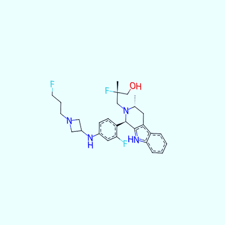 C[C@@H]1Cc2c([nH]c3ccccc23)[C@@H](c2ccc(NC3CN(CCCF)C3)cc2F)N1C[C@](C)(F)CO